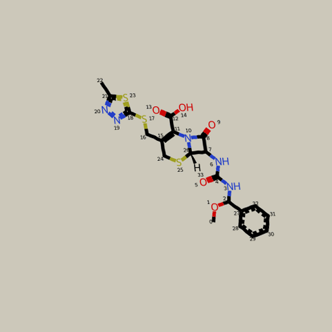 COC(NC(=O)NC1C(=O)N2C(C(=O)O)=C(CSc3nnc(C)s3)CS[C@@H]12)c1ccccc1